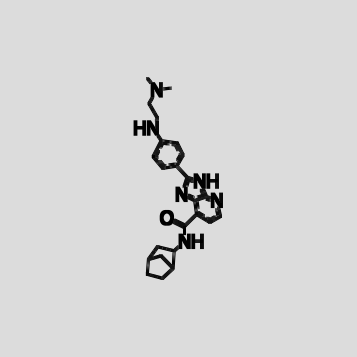 CN(C)CCNc1ccc(-c2nc3c(C(=O)NC4CC5CCC4C5)ccnc3[nH]2)cc1